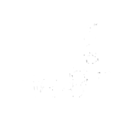 CC(C)(C)OC(=O)N1CC(c2cccc3nc(-c4cn([C@H]5C[C@H](CO)C5)nc4C4CC4)cnc23)C1